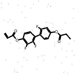 C=CC(=O)Oc1ccc(-c2ccc(OC(=O)CC)cc2F)c(F)c1F